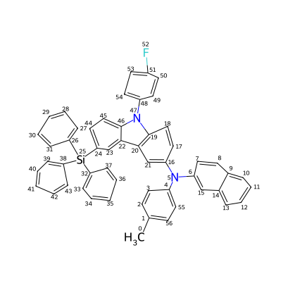 Cc1ccc(N(c2ccc3ccccc3c2)c2ccc3c(c2)c2cc([Si](c4ccccc4)(c4ccccc4)c4ccccc4)ccc2n3-c2ccc(F)cc2)cc1